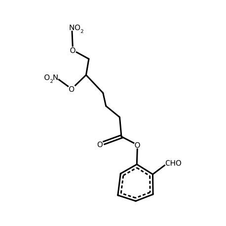 O=Cc1ccccc1OC(=O)CCCC(CO[N+](=O)[O-])O[N+](=O)[O-]